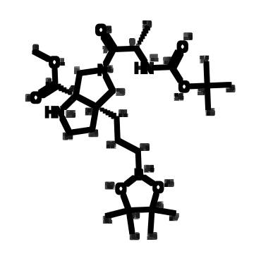 COC(=O)[C@]12CN(C(=O)[C@H](C)NC(=O)OC(C)(C)C)C[C@@]1(CCCB1OC(C)(C)C(C)(C)O1)CCN2